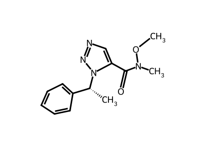 CON(C)C(=O)c1cnnn1[C@H](C)c1ccccc1